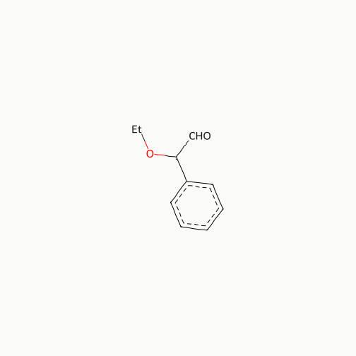 CCO[C](C=O)c1ccccc1